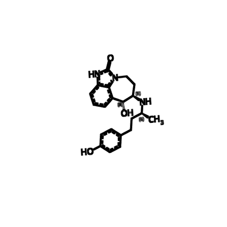 C[C@@H](CCc1ccc(O)cc1)N[C@@H]1CCn2c(=O)[nH]c3cccc(c32)[C@H]1O